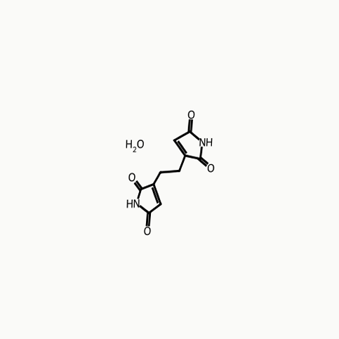 O.O=C1C=C(CCC2=CC(=O)NC2=O)C(=O)N1